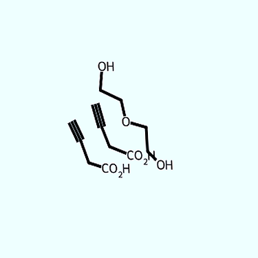 C#CCC(=O)O.C#CCC(=O)O.OCCOCCO